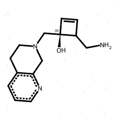 NCC1C=C[C@@]1(O)CN1CCc2cccnc2C1